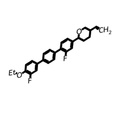 C=CC1CCC(c2ccc(-c3ccc(-c4ccc(OCC)c(F)c4)cc3)c(F)c2)OC1